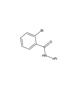 CCCNC(=O)c1ccccc1Br